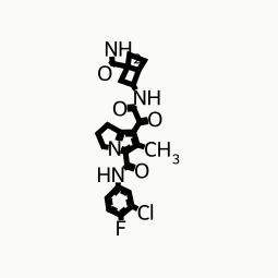 Cc1c(C(=O)C(=O)NC2CC3(C(N)=O)CCC23)c2n(c1C(=O)Nc1ccc(F)c(Cl)c1)CCC2